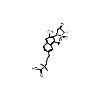 CC(C)(CCCc1ccc2cc(O)c(N3CC(=O)NS3(=O)=O)c(F)c2c1)C(=O)O